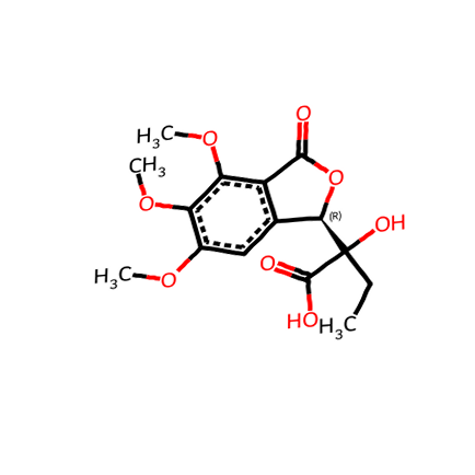 CCC(O)(C(=O)O)[C@@H]1OC(=O)c2c1cc(OC)c(OC)c2OC